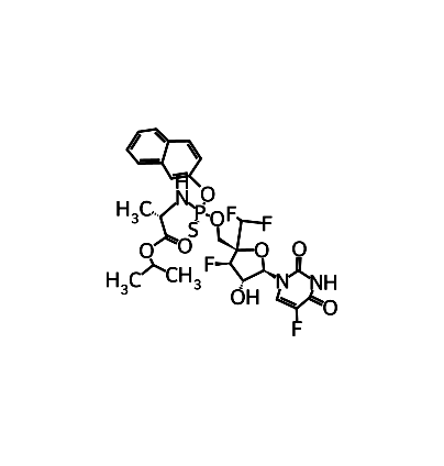 CC(C)OC(=O)[C@H](C)NP(=S)(OC[C@@]1(C(F)F)O[C@@H](n2cc(F)c(=O)[nH]c2=O)[C@H](O)[C@H]1F)Oc1ccc2ccccc2c1